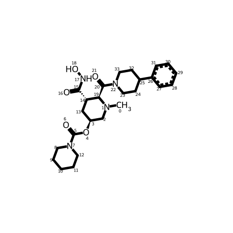 CN1C[C@@H](OC(=O)N2CCCCC2)C[C@H](C(=O)NO)[C@H]1C(=O)N1CCC(c2ccccc2)CC1